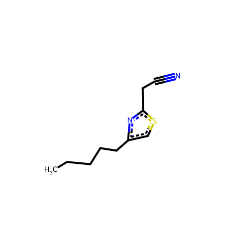 CCCCCc1csc(CC#N)n1